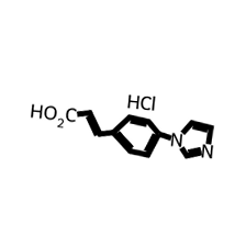 Cl.O=C(O)C=Cc1ccc(-n2ccnc2)cc1